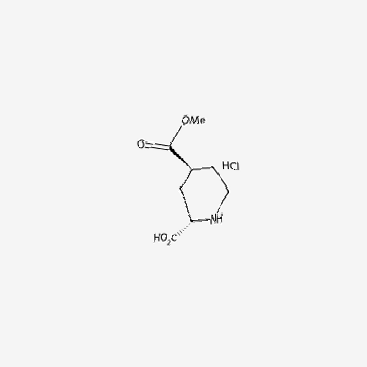 COC(=O)[C@H]1CCN[C@H](C(=O)O)C1.Cl